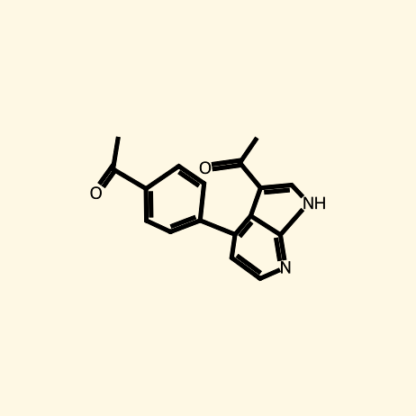 CC(=O)c1ccc(-c2ccnc3[nH]cc(C(C)=O)c23)cc1